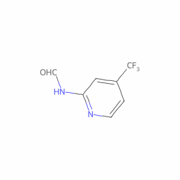 O=CNc1cc(C(F)(F)F)ccn1